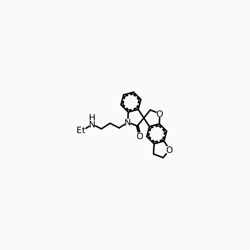 CCNCCCN1C(=O)C2(COc3cc4c(cc32)CCO4)c2ccccc21